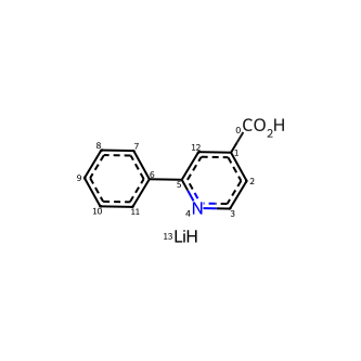 O=C(O)c1ccnc(-c2ccccc2)c1.[LiH]